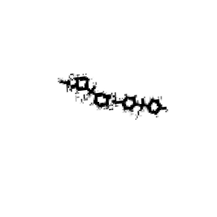 Cc1ccc(C(C)(c2ccc(-c3nc4cc(C(C)(c5ccc6oc(C)nc6c5)C(F)(F)F)ccc4o3)cc2)C(F)(F)F)cc1